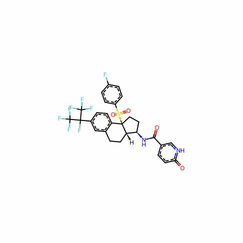 O=C(N[C@@H]1CC[C@@]2(S(=O)(=O)c3ccc(F)cc3)c3ccc(C(F)(C(F)(F)F)C(F)(F)F)cc3CC[C@@H]12)c1ccc(=O)[nH]c1